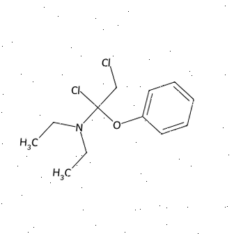 CCN(CC)C(Cl)(CCl)Oc1ccccc1